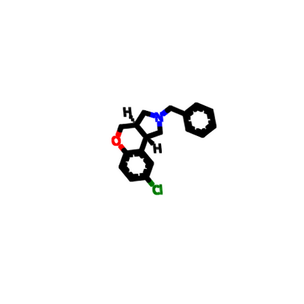 Clc1ccc2c(c1)[C@H]1CN(Cc3ccccc3)C[C@@H]1CO2